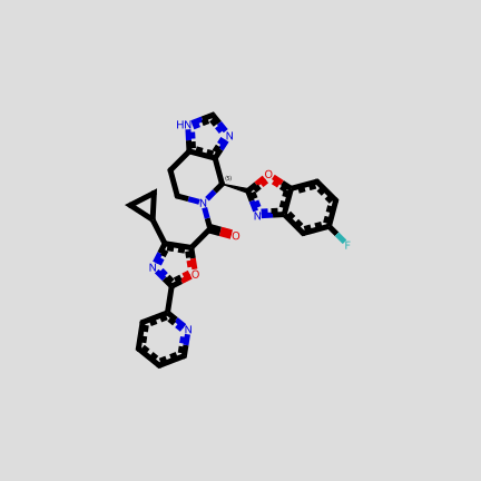 O=C(c1oc(-c2ccccn2)nc1C1CC1)N1CCc2[nH]cnc2[C@H]1c1nc2cc(F)ccc2o1